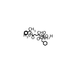 CC(CN(C)C(=O)CC[C@@H](C=O)NC(=O)[C@H](CC1CCCCC1)NC(=O)O)c1ccccc1